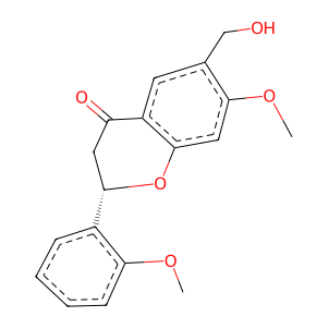 COc1cc2c(cc1CO)C(=O)C[C@@H](c1ccccc1OC)O2